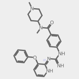 CN1CCC(N(C)C(=O)c2ccc(NC(=N)/N=c3\[nH]cccc3Oc3ccccc3)cc2)CC1